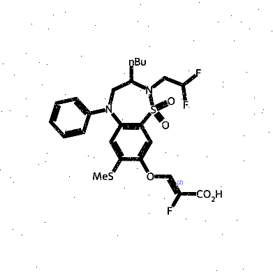 CCCCC1CN(c2ccccc2)c2cc(SC)c(O/C=C(\F)C(=O)O)cc2S(=O)(=O)N1CC(F)F